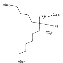 CCCCCCCCCCCCCCCCC(CCCCCCCCCCCCCC)(C(=O)O)C(O)(CC(=O)O)C(=O)O